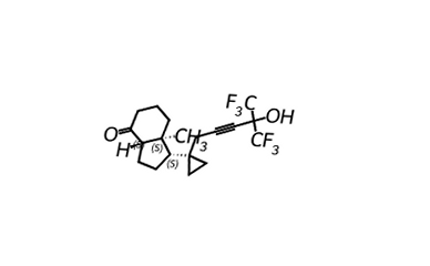 C[C@@]12CCCC(=O)[C@H]1CC[C@H]2C1(CC#CC(O)(C(F)(F)F)C(F)(F)F)CC1